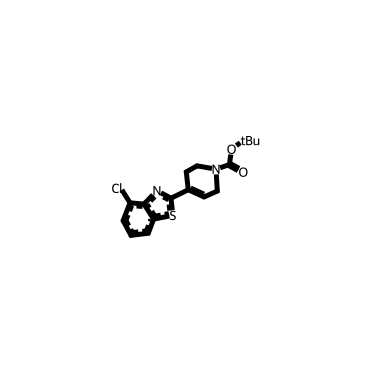 CC(C)(C)OC(=O)N1CC=C(c2nc3c(Cl)cccc3s2)CC1